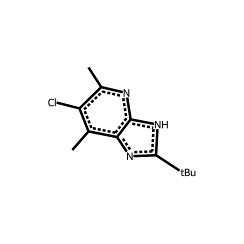 Cc1nc2[nH]c(C(C)(C)C)nc2c(C)c1Cl